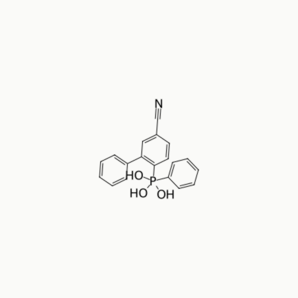 N#Cc1ccc(P(O)(O)(O)c2ccccc2)c(-c2ccccc2)c1